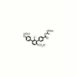 CCCCCCCCOc1ccc(-c2ccc(C(=O)O)c(-c3ccc(C(=O)OC(C)CCCCCC)cc3)c2F)cc1